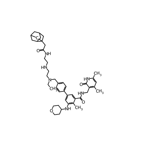 CCN(CCNCCNC(=O)CC12CC3CC(CC1C3)C2)Cc1ccc(-c2cc(NC3CCOCC3)c(C)c(C(=O)NCc3c(C)cc(C)[nH]c3=O)c2)cc1